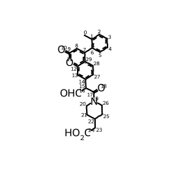 Cc1ccccc1-c1cc(=O)oc2cc(C(C=O)C(=O)N3CCC(CC(=O)O)CC3)ccc12